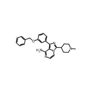 CN1CCC(c2nc(-c3cccc(OCc4ccccc4)c3)c3c(N)nccn23)CC1